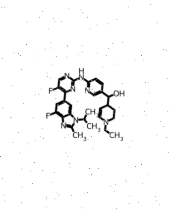 CCN1C=CC(C(O)c2ccc(Nc3ncc(F)c(-c4cc(F)c5nc(C)n(C(C)C)c5c4)n3)nc2)CC1